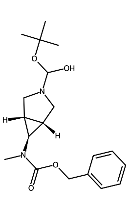 CN(C(=O)OCc1ccccc1)[C@H]1[C@@H]2CN(C(O)OC(C)(C)C)C[C@@H]21